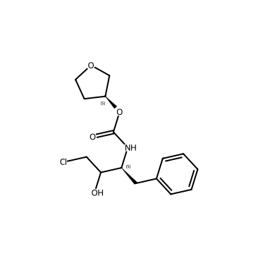 O=C(N[C@@H](Cc1ccccc1)C(O)CCl)O[C@H]1CCOC1